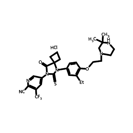 CCc1cc(N2C(=S)N(c3cnc(C#N)c(C(F)(F)F)c3)C(=O)C23CCC3)ccc1OCCN1CCNC(C)(C)C1.Cl